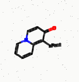 CCCCCc1c(=O)ccn2ccccc12